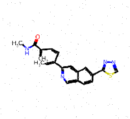 C=C(/C=C\C(=C/C)c1cc2cc(-c3nncs3)ccc2cn1)C(=O)NC